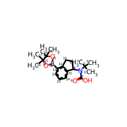 CC(C)(C)N(C(=O)O)C1CCc2c(B3OC(C)(C)C(C)(C)O3)cccc21